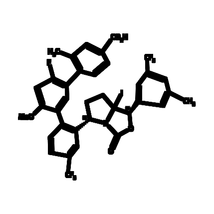 COc1cc(F)c(-c2ccc(C(=O)O)cc2C)cc1-c1ccc(C(F)(F)F)cc1[C@@H]1CCC2(I)[C@@H](c3cc(C)cc(C(F)(F)F)c3)OC(=O)N12